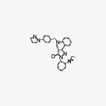 [C-]#[N+]c1ccccc1-n1nc2c3ccccc3n(Cc3ccc(-n4cccn4)cc3)cc-2c1=O